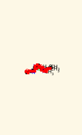 Cc1nc2ccc(Oc3ccc4ncc(-c5cnn(CCC6C=CCO6)c5)nc4c3Cl)cc2n1COCC[Si](C)(C)C